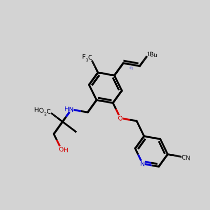 CC(C)(C)/C=C/c1cc(OCc2cncc(C#N)c2)c(CNC(C)(CO)C(=O)O)cc1C(F)(F)F